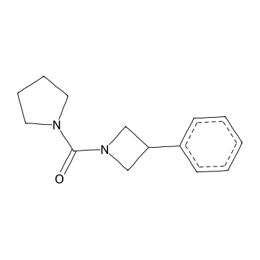 O=C(N1CCCC1)N1CC(c2ccccc2)C1